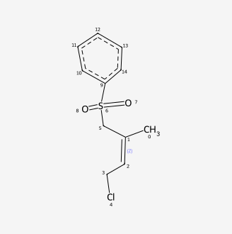 C/C(=C/CCl)CS(=O)(=O)c1ccccc1